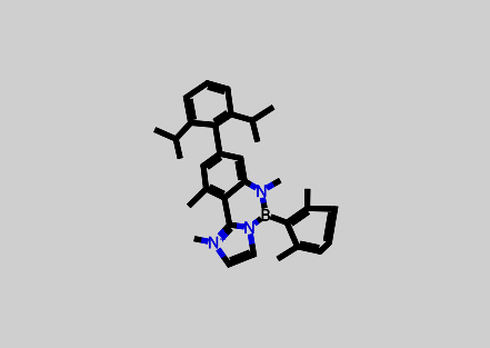 Cc1cccc(C)c1B1N(C)c2cc(-c3c(C(C)C)cccc3C(C)C)cc(C)c2-c2n1cc[n+]2C